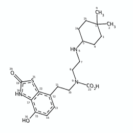 CC1(C)CCC(NCCN(CCc2ccc(O)c3[nH]c(=O)sc23)C(=O)O)CC1